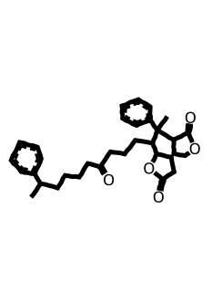 CC(CCCCC(=O)CCCC(C1CCC(=O)O1)C(C)(c1ccccc1)C1CCOC1=O)c1ccccc1